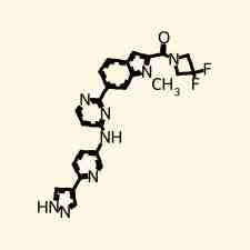 Cn1c(C(=O)N2CC(F)(F)C2)cc2ccc(-c3nccc(Nc4ccc(-c5cn[nH]c5)nc4)n3)cc21